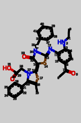 CCNc1ccc(C(C)=O)cc1N=C1SC(=C2SC(C)=C(c3ccccc3)N2CC(=O)O)C(=O)N1Cc1ccccc1